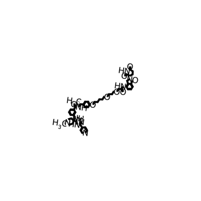 C[C@@H](NC(=O)c1cccc(NC2(c3nnc(-c4ccncc4)[nH]3)CCN(C)CC2)c1)c1ccc(OCCCCCOCCCOCC(=O)Nc2cccc3c2CN(C2CCC(=O)NC2=O)C3=O)cc1